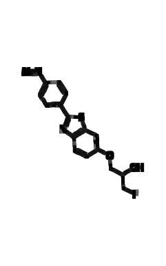 CNc1ccc(-c2nc3ccc(OCC(O)CF)cc3s2)cc1